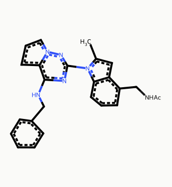 CC(=O)NCc1cccc2c1cc(C)n2-c1nc(NCc2ccccc2)c2cccn2n1